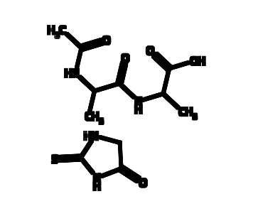 CC(=O)NC(C)C(=O)NC(C)C(=O)O.O=C1CNC(=S)N1